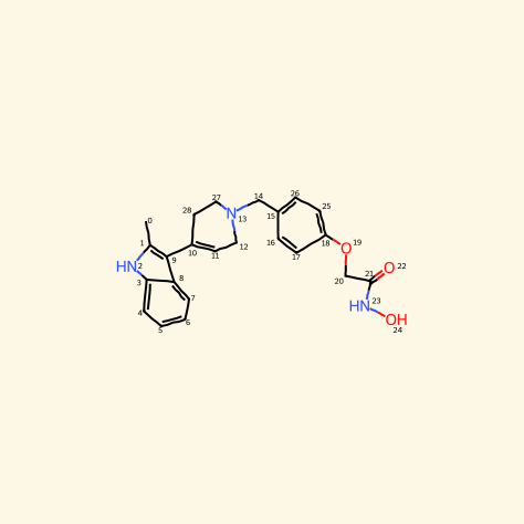 Cc1[nH]c2ccccc2c1C1=CCN(Cc2ccc(OCC(=O)NO)cc2)CC1